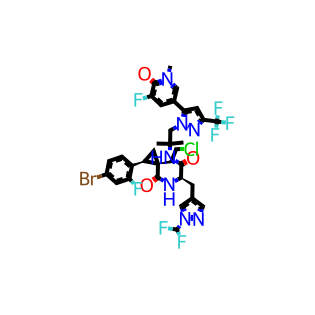 Cn1cc(-c2cc(C(F)(F)F)nn2CC(C)(C)NC(=O)[C@@H](Cc2cnn(C(F)F)c2)NC(=O)[C@@]2(CCCl)C[C@@H]2c2ccc(Br)cc2F)cc(F)c1=O